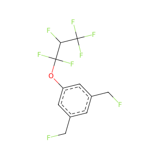 FCc1cc(CF)cc(OC(F)(F)C(F)C(F)(F)F)c1